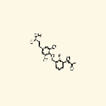 CC(=O)Nc1cccc(COc2c(Cl)cc(CCC(=O)O)cc2Cl)c1F